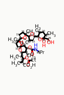 CCC(=O)O[C@H]([C@H](C)[C@H]1O[C@@]2(CC[C@@](C)([C@H]3CC[C@@](C)(C4O[C@@H]([C@H]5O[C@@](O)(CO)[C@H](C)C[C@@H]5C)C[C@@H]4C)O3)O2)C[C@H](OC(=O)NC(C)C)[C@H]1C)[C@@H](C)C(=O)O